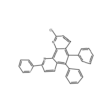 Clc1ccc2c(-c3ccccc3)c(-c3ccccc3)c3ccc(-c4ccccc4)nc3c2n1